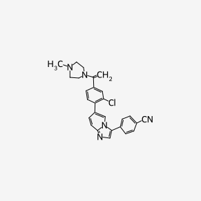 C=C(c1ccc(-c2ccc3ncc(-c4ccc(C#N)cc4)n3c2)c(Cl)c1)N1CCN(C)CC1